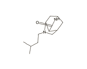 CC(C)CCN1CC2CC3CC1C2C(=O)N3